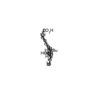 Cc1ncsc1-c1ccc(C(C)NC(=O)[C@@H]2C[C@@H](O)CN2C(=O)C(NC(=O)COCCOCCOCCOc2ccc(CCC(=O)O)cc2)C(C)(C)C)cc1